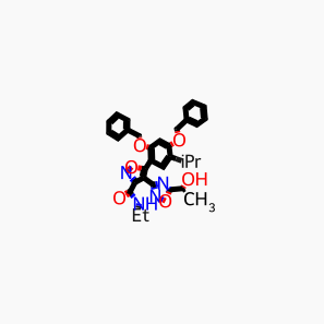 CCNC(=O)c1noc(-c2cc(C(C)C)c(OCc3ccccc3)cc2OCc2ccccc2)c1-c1noc([C@H](C)O)n1